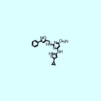 CCCOc1cc(Nc2cc(C3CC3)n[nH]2)nc(NCc2cc(-c3ccccc3)no2)n1